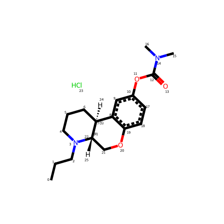 CCCN1CCC[C@H]2c3cc(OC(=O)N(C)C)ccc3OC[C@@H]21.Cl